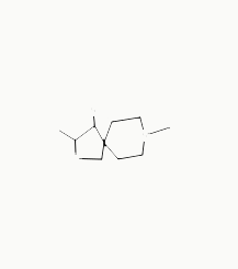 CCN1CCC2(CC1)COC(C)C2N